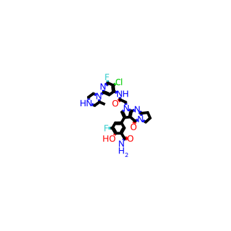 CC1CNCCN1c1cc(NC(=O)Cn2cc(-c3cc(F)c(O)c(C(N)=O)c3)c3c(=O)n4c(nc32)CCC4)c(Cl)c(F)n1